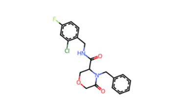 O=C(NCc1ccc(F)cc1Cl)C1COCC(=O)N1Cc1ccccc1